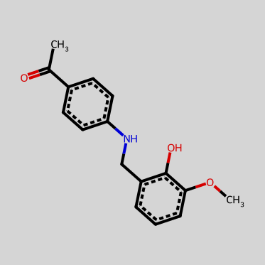 COc1cccc(CNc2ccc(C(C)=O)cc2)c1O